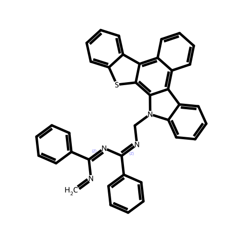 C=N/C(=N\C(=N/Cn1c2ccccc2c2c3ccccc3c3c4ccccc4sc3c21)c1ccccc1)c1ccccc1